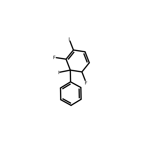 FC1=C(I)C=CC(F)C1(I)c1ccccc1